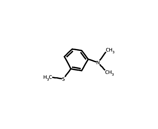 CSc1cccc(N(C)C)c1